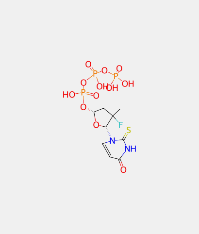 CC1(F)C[C@@H](OP(=O)(O)OP(=O)(O)OP(=O)(O)O)O[C@H]1n1ccc(=O)[nH]c1=S